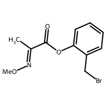 CON=C(C)C(=O)Oc1ccccc1CBr